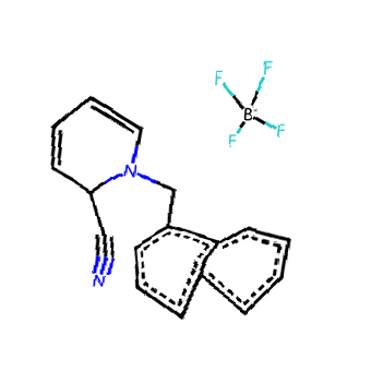 F[B-](F)(F)F.N#CC1C=CC=CN1Cc1cccc2ccccc12